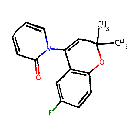 CC1(C)C=C(n2ccccc2=O)c2cc(F)ccc2O1